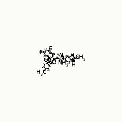 Cc1ccc(S(=O)(=O)n2c(C(=O)c3cnn(-c4ccc5[nH]c(C)nc5c4)c3N)cc3c(F)cc(F)cc32)cc1